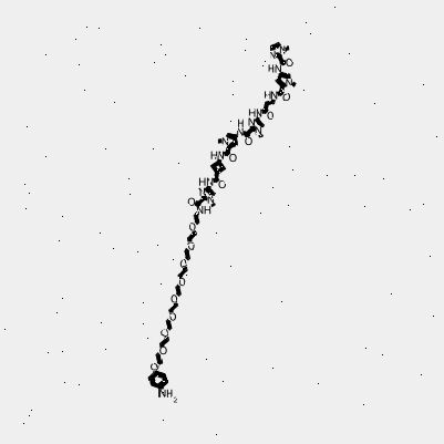 Cn1cc(NC(=O)c2nccn2C)cc1C(=O)NCCC(=O)Nc1cn(C)c(C(=O)Nc2cc(C(=O)NC3CC(C(=O)Nc4cn(C)c(C(=O)NCCOCCOCCOCCOCCOCCOCCOCCOCCOc5ccc(N)cc5)n4)C3)n(C)c2)n1